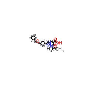 CC(C)Oc1nc2nc([C@H]3CC[C@H](COCc4ccccc4)CC3)cn2cc1C(=O)O